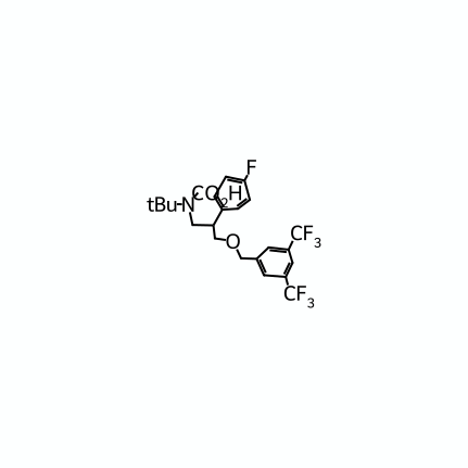 CC(C)(C)N(CC(COCc1cc(C(F)(F)F)cc(C(F)(F)F)c1)c1ccc(F)cc1)C(=O)O